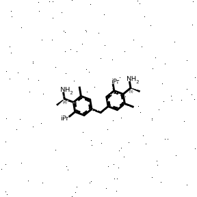 Cc1cc(Cc2cc(C)c([C@@H](C)N)c(C(C)C)c2)cc(C(C)C)c1[C@H](C)N